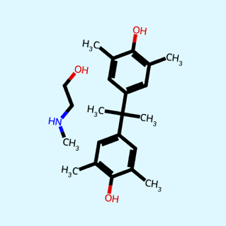 CNCCO.Cc1cc(C(C)(C)c2cc(C)c(O)c(C)c2)cc(C)c1O